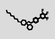 CCCCCCCC[C@H]1CC[C@](CCc2ccc(-c3cc(F)c(F)c(F)c3)cc2)(C2CCCCC2)CC1